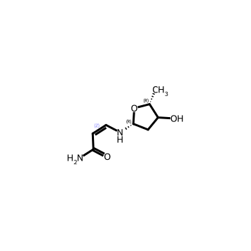 C[C@H]1O[C@@H](N/C=C\C(N)=O)CC1O